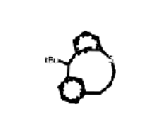 CC(C)(C)C1c2cccc(c2)CCCSc2cccc1c2